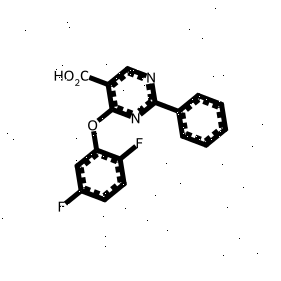 O=C(O)c1cnc(-c2ccccc2)nc1Oc1cc(F)ccc1F